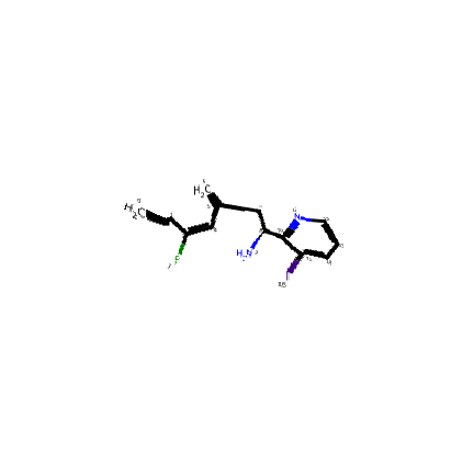 C=C/C(F)=C\C(=C)C[C@H](N)c1ncccc1I